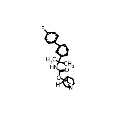 CC(C)(NC(=O)O[C@H]1CN2CCC1CC2)c1cccc(-c2ccc(F)cc2)c1